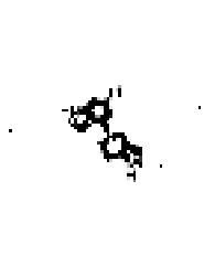 Clc1cc(N2CCc3[nH]ncc3C2)c2cn[nH]c2c1